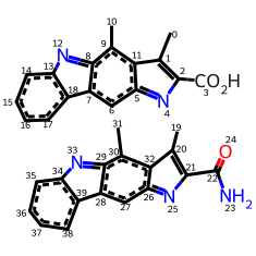 CC1=C(C(=O)O)N=c2cc3c(c(C)c21)=Nc1ccccc1-3.CC1=C(C(N)=O)N=c2cc3c(c(C)c21)=Nc1ccccc1-3